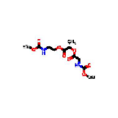 C[C@H](OC(=O)CNC(=O)OC(C)(C)C)C(=O)OCCNC(=O)OC(C)(C)C